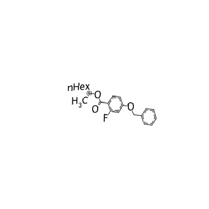 CCCCCC[C@@H](C)OC(=O)c1ccc(OCc2ccccc2)cc1F